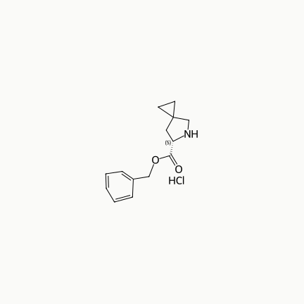 Cl.O=C(OCc1ccccc1)[C@@H]1CC2(CC2)CN1